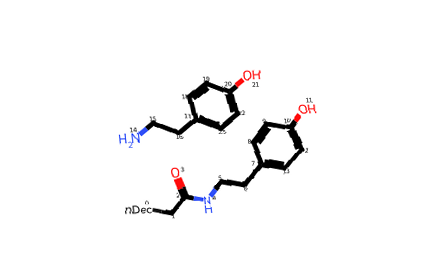 CCCCCCCCCCCC(=O)NCCc1ccc(O)cc1.NCCc1ccc(O)cc1